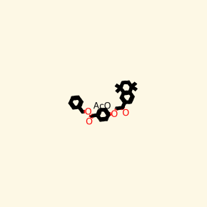 CC(=O)Oc1cc(OCC(=O)c2ccc3c(c2)C(C)(C)CCC3(C)C)ccc1C(=O)OCc1ccccc1